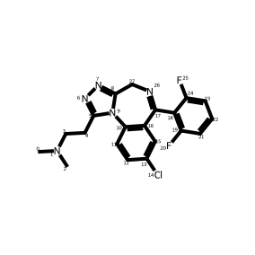 CN(C)CCc1nnc2n1-c1ccc(Cl)cc1C(c1c(F)cccc1F)=NC2